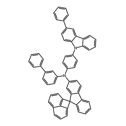 c1ccc(-c2cccc(N(c3ccc(-n4c5ccccc5c5cc(-c6ccccc6)ccc54)cc3)c3ccc4c(c3)C3(c5ccccc5-4)c4cccc5cccc3c45)c2)cc1